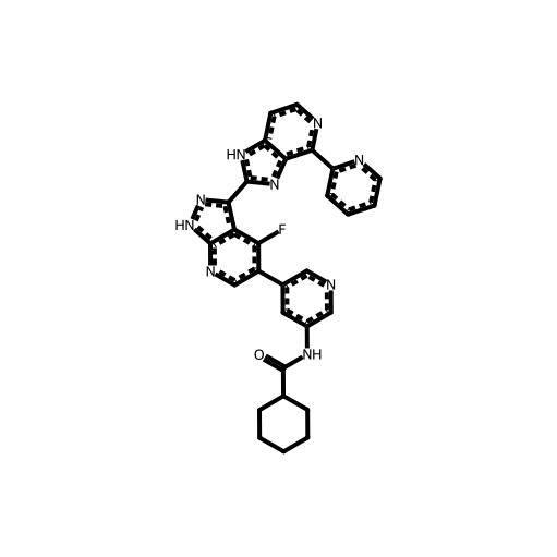 O=C(Nc1cncc(-c2cnc3[nH]nc(-c4nc5c(-c6ccccn6)nccc5[nH]4)c3c2F)c1)C1CCCCC1